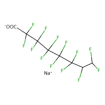 O=C([O-])C(F)(F)C(F)(F)C(F)(F)C(F)(F)C(F)(F)C(F)C(F)F.[Na+]